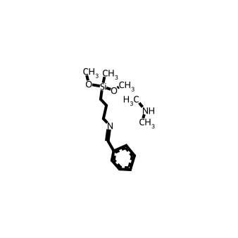 CNC.CO[Si](C)(CCCN=Cc1ccccc1)OC